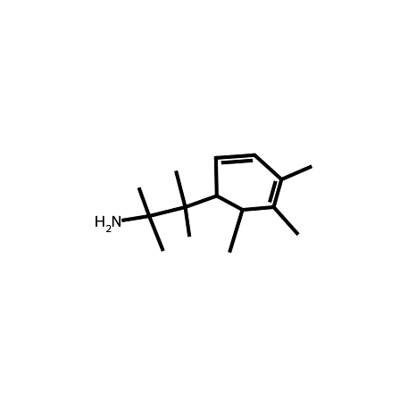 CC1=C(C)C(C)C(C(C)(C)C(C)(C)N)C=C1